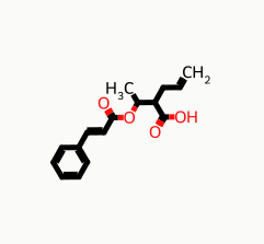 C=CCC(C(=O)O)C(C)OC(=O)C=Cc1ccccc1